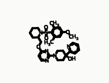 COc1cc(C)c(S(=O)(=O)N2CCCCC2COc2ccnc(N3CCC(O)(c4ccccn4)CC3)n2)c(C)c1